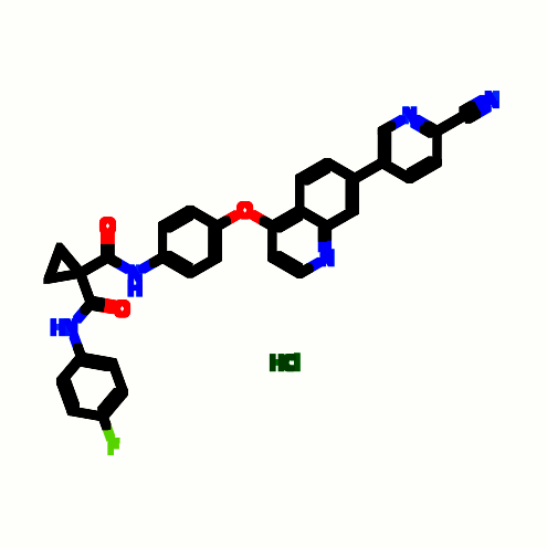 Cl.N#Cc1ccc(-c2ccc3c(Oc4ccc(NC(=O)C5(C(=O)Nc6ccc(F)cc6)CC5)cc4)ccnc3c2)cn1